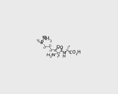 C[C@H](NC(=O)[C@](C)(N)C(=O)CCCP(C)N)C(=O)O